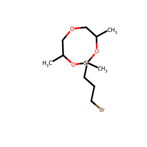 CC1COCC(C)O[Si](C)(CCCBr)O1